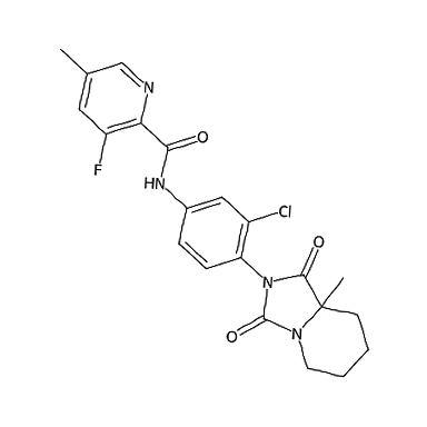 Cc1cnc(C(=O)Nc2ccc(N3C(=O)N4CCCCC4(C)C3=O)c(Cl)c2)c(F)c1